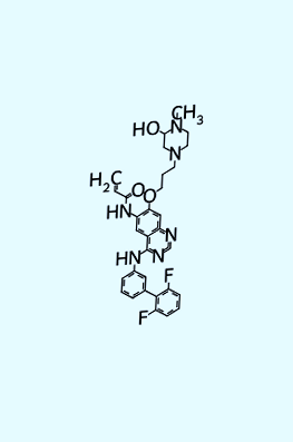 C=CC(=O)Nc1cc2c(Nc3cccc(-c4c(F)cccc4F)c3)ncnc2cc1OCCCN1CCN(C)C(O)C1